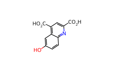 O=C(O)c1cc(C(=O)O)c2cc(O)ccc2n1